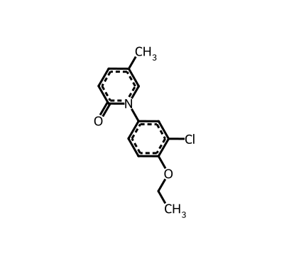 CCOc1ccc(-n2cc(C)ccc2=O)cc1Cl